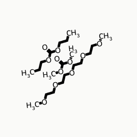 CCCOC(=O)OCCC.COC(=O)OC.COCCOCCOCCOCCOC